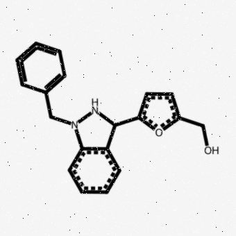 OCc1ccc(C2NN(CC3=CC=C=C=C3)c3ccccc32)o1